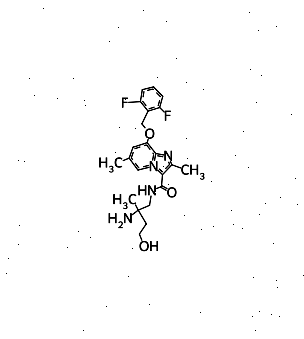 Cc1cc(OCc2c(F)cccc2F)c2nc(C)c(C(=O)NCC(C)(N)CCO)n2c1